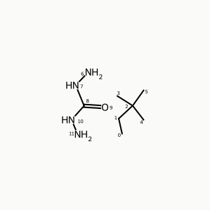 CCC(C)(C)C.NNC(=O)NN